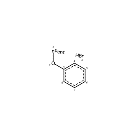 Br.CCCCCOc1ccccc1